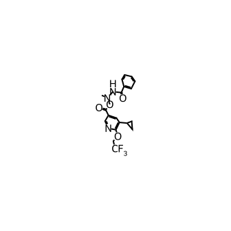 CN(NC(=O)c1ccccc1)OC(=O)c1cnc(OCC(F)(F)F)c(C2CC2)c1